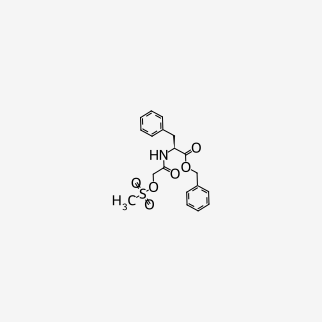 CS(=O)(=O)OCC(=O)N[C@@H](Cc1ccccc1)C(=O)OCc1ccccc1